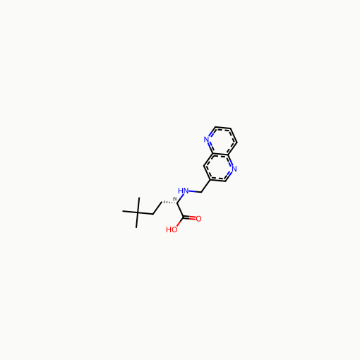 CC(C)(C)CC[C@H](NCc1cnc2cccnc2c1)C(=O)O